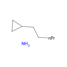 CCCCCC1CC1.N